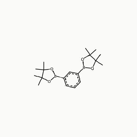 CC1(C)OB(c2[c]ccc(B3OC(C)(C)C(C)(C)O3)c2)OC1(C)C